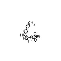 CCN1C(=O)c2cc(-c3nc(Nc4ccc(C5CCN(C)CC5)cn4)ncc3F)sc2C12CCCC2